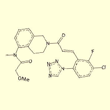 COCC(=O)N(C)c1cccc2c1CCN(C(=O)C=Cc1c(-n3cnnn3)ccc(Cl)c1F)C2